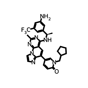 Cc1nc(N[C@H](C)c2cc(N)cc(C(F)(F)F)c2)c2cc(-c3ccc(=O)n(CC4CCCC4)c3)c3nccn3c2n1